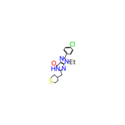 CCn1c(-c2ccc(Cl)cc2)nc2c(=O)[nH]c(CC3CCSCC3)nc21